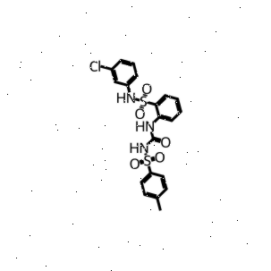 Cc1ccc(S(=O)(=O)NC(=O)Nc2ccccc2S(=O)(=O)Nc2cccc(Cl)c2)cc1